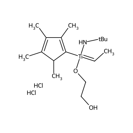 C[CH]=[Ti]([NH]C(C)(C)C)([O]CCO)[C]1=C(C)C(C)=C(C)C1C.Cl.Cl